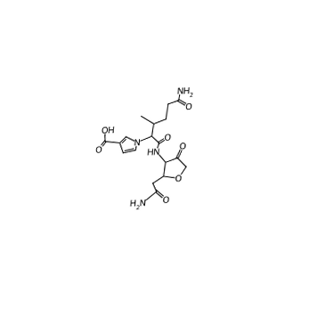 CC(CCC(N)=O)C(C(=O)NC1C(=O)COC1CC(N)=O)n1ccc(C(=O)O)c1